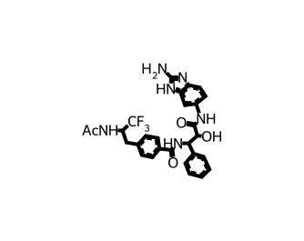 CC(=O)NC(Cc1ccc(C(=O)NC(c2ccccc2)C(O)C(=O)Nc2ccc3nc(N)[nH]c3c2)cc1)C(F)(F)F